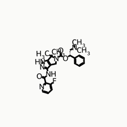 CN(C)C[C@@H](OC(=O)N1Cc2c(NC(=O)c3ncccc3F)n[nH]c2C1(C)C)c1ccccc1